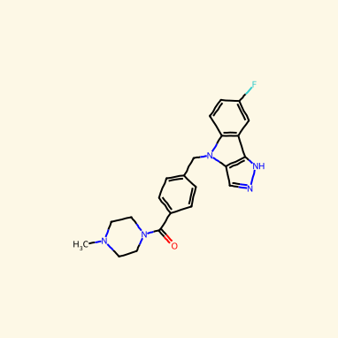 CN1CCN(C(=O)c2ccc(Cn3c4ccc(F)cc4c4[nH]ncc43)cc2)CC1